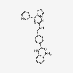 Nc1ccccc1NC(=O)c1ccc(CNc2nc(-c3cccnc3)c3cccn3n2)cc1